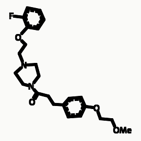 COCCOc1ccc(CCC(=O)N2CCN(CCOc3ccccc3F)CC2)cc1